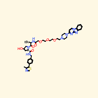 Cc1ncsc1-c1ccc(CNC(=O)[C@@H]2C[C@@H](O)CN2C(=O)C(NC(=O)COCCOCCOCCN2CCN(c3ccn4c(n3)nc3ccccc34)CC2)C(C)(C)C)cc1